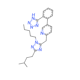 CCCCCn1nc(CCC(C)C)nc1Cc1ccc(-c2ccccc2-c2nnn[nH]2)cn1